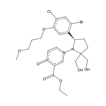 CCOC(=O)c1cn(N2[C@@H](c3cc(OCCCOC)c(Cl)cc3Br)CCC2(CO)CO)ccc1=O